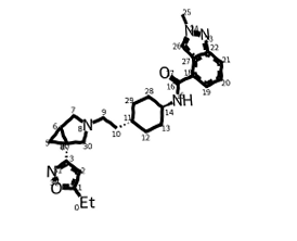 CCc1cc([C@]23CC2CN(CC[C@H]2CC[C@H](NC(=O)c4cccc5nn(C)cc45)CC2)C3)no1